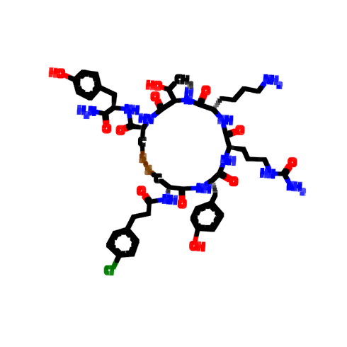 CC(O)C1NC(=O)[C@H](CCCCN)NC(=O)[C@@H](CCCNC(N)=O)NC(=O)[C@H](Cc2ccc(O)cc2)NC(=O)[C@H](NC(=O)CCc2ccc(Cl)cc2)CSSC[C@@H](C(=O)N[C@H](Cc2ccc(O)cc2)C(N)=O)NC1=O